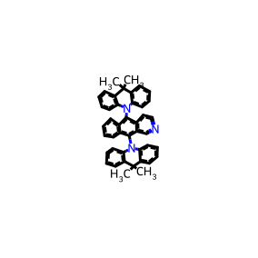 CC1(C)c2ccccc2N(c2c3ccccc3c(N3c4ccccc4C(C)(C)c4ccccc43)c3cnccc23)c2ccccc21